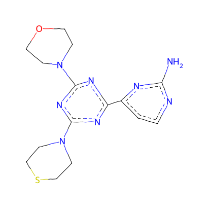 Nc1nccc(-c2nc(N3CCOCC3)nc(N3CCSCC3)n2)n1